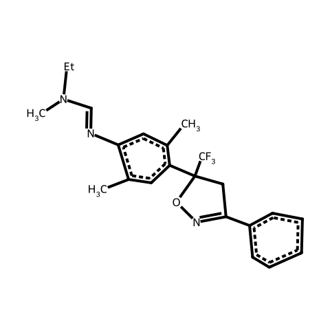 CCN(C)C=Nc1cc(C)c(C2(C(F)(F)F)CC(c3ccccc3)=NO2)cc1C